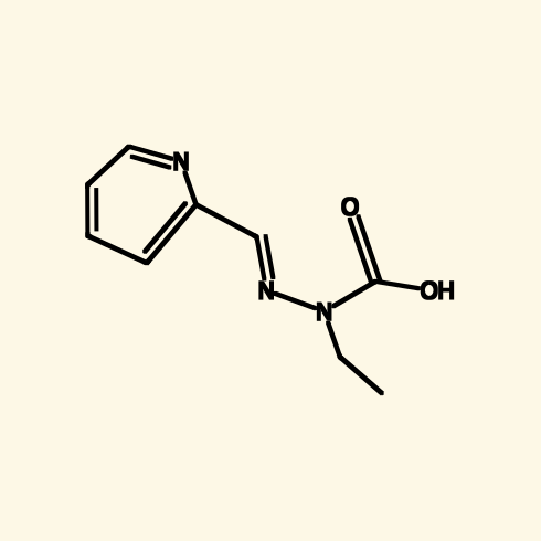 CCN(N=Cc1ccccn1)C(=O)O